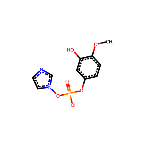 COc1ccc(OP(=O)(O)On2ccnc2)cc1O